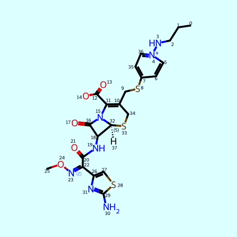 CCCN[n+]1ccc(SCC2=C(C(=O)[O-])N3C(=O)C(NC(=O)/C(=N\OC)c4csc(N)n4)[C@@H]3SC2)cc1